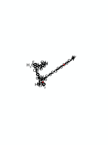 CC[C@@]1(O)C(=O)OCc2c1cc1n(c2=O)Cc2c-1nc1cc(F)c(C)c3c1c2[C@@H](NC(=O)OCc1ccc(NC(=O)[C@@H](CCCCNC)NC(=O)[C@H](Cc2c[nH]c4ccccc24)NC(=O)CCOCCOCCOCCOCCOCCOCCOCCOCCOCCN=[N+]=[N-])cc1)CC3